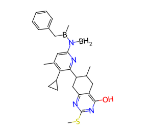 BN(B(C)Cc1ccccc1)c1cc(C)c(C2CC2)c(C2Cc3nc(SC)nc(O)c3CC2C)n1